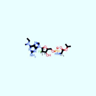 CCN(C)c1nc(N)nc2c1ncn2[C@@H]1OC(CO[PH](=O)N[C@@H](C)C(=O)OC(C)C)[C@@H](O)[C@@]1(C)F